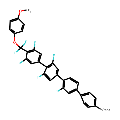 CCCCCc1ccc(-c2ccc(-c3cc(F)c(-c4cc(F)c(C(F)(F)Oc5ccc(OC(F)(F)F)cc5)c(F)c4)c(F)c3)c(F)c2)cc1